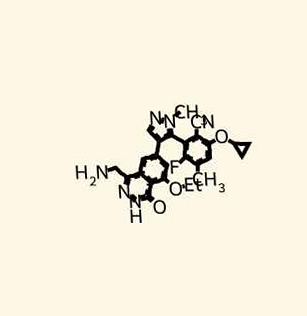 CCOc1cc(-c2cnn(C)c2-c2c(F)c(C)cc(OC3CC3)c2C#N)cc2c(CN)n[nH]c(=O)c12